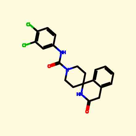 O=C1Cc2ccccc2C2(CCN(C(=O)Nc3ccc(Cl)c(Cl)c3)CC2)N1